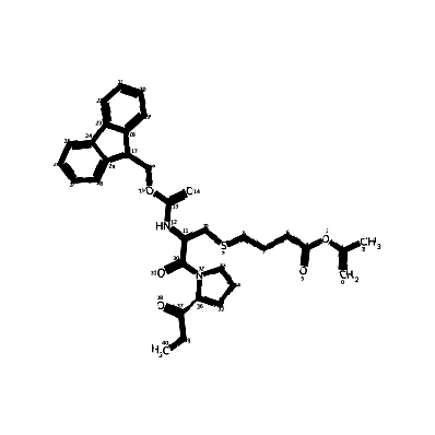 C=C(C)OC(=O)CCCSCC(NC(=O)OCC1c2ccccc2-c2ccccc21)C(=O)N1CCC[C@H]1C(=O)CC